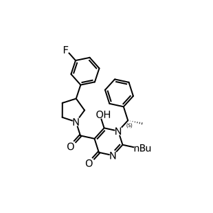 CCCCc1nc(=O)c(C(=O)N2CCC(c3cccc(F)c3)C2)c(O)n1[C@@H](C)c1ccccc1